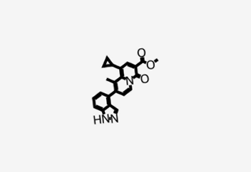 COC(=O)c1cc(C2CC2)c2c(C)c(-c3cccc4[nH]ncc34)ccn2c1=O